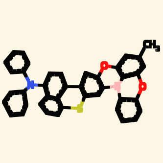 Cc1cc2c3c(c1)Oc1cc4c(cc1B3c1ccccc1O2)Sc1cccc2c(N(c3ccccc3)c3ccccc3)ccc-4c12